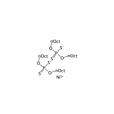 CCCCCCCCOP(=S)([S-])OCCCCCCCC.CCCCCCCCOP(=S)([S-])OCCCCCCCC.[Ni+2]